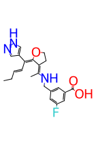 CC/C=C/C(=C1/OCC/C1=C(/C)NCc1cc(F)cc(C(=O)O)c1)c1cn[nH]c1